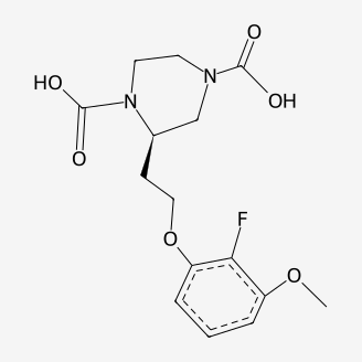 COc1cccc(OCC[C@@H]2CN(C(=O)O)CCN2C(=O)O)c1F